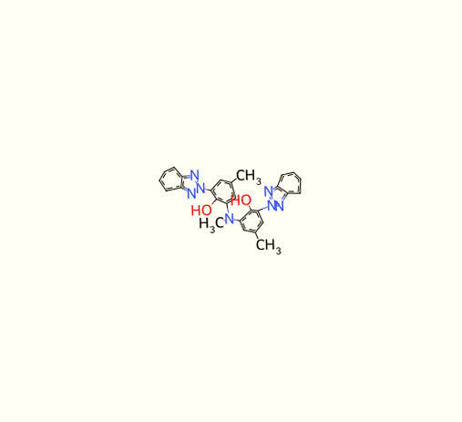 Cc1cc(N(C)c2cc(C)cc(-n3nc4ccccc4n3)c2O)c(O)c(-n2nc3ccccc3n2)c1